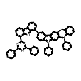 c1ccc(-c2nc(-c3ccccc3)nc(-c3cccc4c3oc3c(-c5ccc6c(c5)c5cc7c(cc5n6-c5ccccc5)N(c5ccccc5)c5ccccc5S7)cccc34)n2)cc1